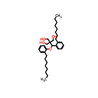 CCCCCCCCc1ccccc1OC(c1ccccc1CCCCCCCC)C(CO)(CO)CO